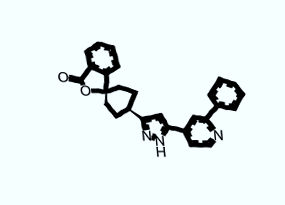 O=C1O[C@]2(CC[C@H](c3cc(-c4ccnc(-c5ccccc5)c4)[nH]n3)CC2)c2ccccc21